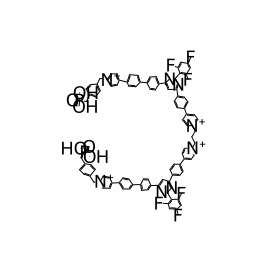 O=P(O)(O)Cc1ccc(C[n+]2ccc(-c3ccc(-c4ccc(-c5cc(-c6ccc(-c7cc[n+](CCC[n+]8ccc(-c9ccc(-c%10cc(-c%11ccc(-c%12ccc(-c%13cc[n+](Cc%14ccc(CP(=O)(O)O)cc%14)cc%13)cc%12)cc%11)nc(-c%11c(F)cc(F)cc%11F)n%10)cc9)cc8)cc7)cc6)nc(-c6c(F)cc(F)cc6F)n5)cc4)cc3)cc2)cc1